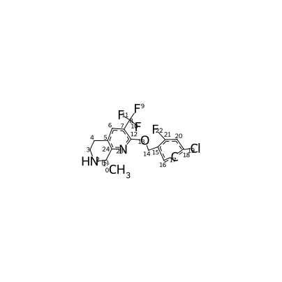 C[C@@H]1NCCc2cc(C(F)(F)F)c(OCc3ccc(Cl)cc3F)nc21